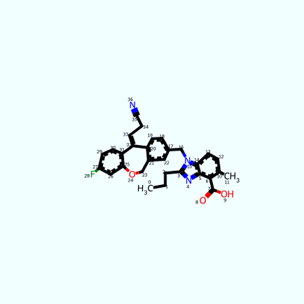 CCCc1nc2c(C(=O)O)c(C)ccc2n1Cc1ccc2c(c1)COc1cc(F)ccc1C2=CCC#N